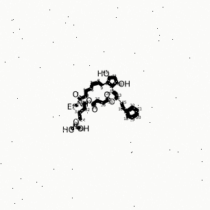 CCNC(=O)CCC/C=C\C[C@@H]1[C@@H](/C=C/[C@H](CCc2ccccc2)OC(=O)CCC(=O)OCCCCON(O)O)[C@H](O)C[C@@H]1O